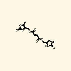 Cc1oc(=O)oc1COC(=O)/C=C/C(=O)OCC1CNC(=O)N1